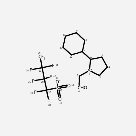 O=CC[S+]1CCCC1C1CCCCC1.O=S(=O)([O-])C(F)(F)C(F)(F)C(F)(F)C(F)(F)F